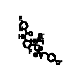 COc1ccc(CN(C)S(=O)(=O)CC(C)(N[S@+]([O-])I)c2cc(NC(=O)c3ccc(F)cn3)ccc2F)cc1